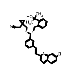 CC(C)(O)c1ccccc1CC[C@@H](SCC1(CC#N)CC1)c1cccc(C=Cc2ccc3ccc(Cl)cc3n2)c1